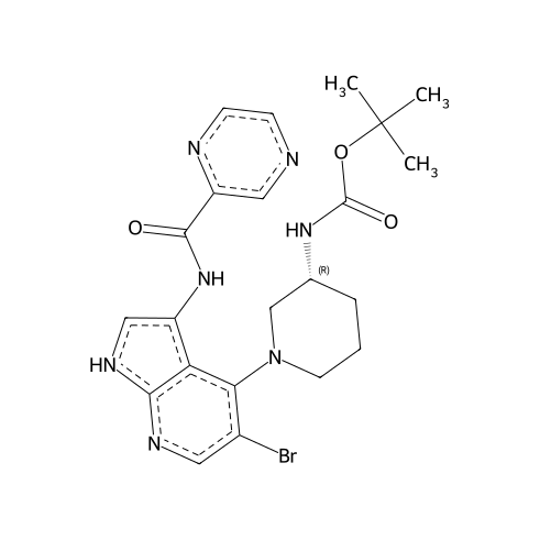 CC(C)(C)OC(=O)N[C@@H]1CCCN(c2c(Br)cnc3[nH]cc(NC(=O)c4cnccn4)c23)C1